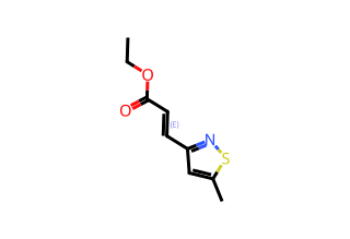 CCOC(=O)/C=C/c1cc(C)sn1